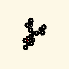 c1ccc(N(c2ccccc2)c2cccc3c2-c2cccc4cc(N(c5ccc(-c6cccc7c6oc6ccccc67)cc5)c5ccc(-c6cccc7c6oc6ccccc67)cc5)cc(c24)O3)cc1